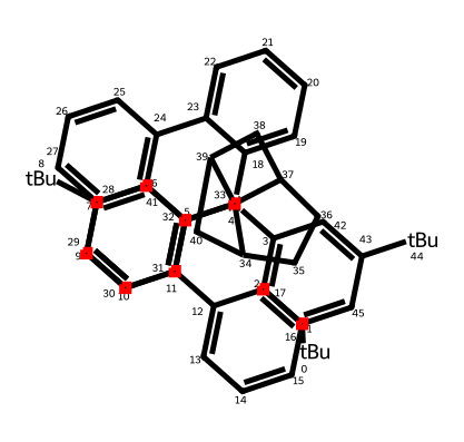 CC(C)(C)c1cc(N(c2cc(C(C)(C)C)ccc2-c2ccccc2)c2ccccc2-c2cccc3cccc(C45C6CCC4CC5C6)c23)cc(C(C)(C)C)c1